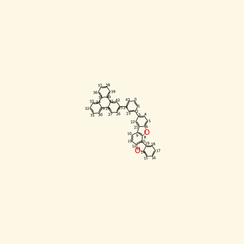 c1cc(-c2ccc3oc4c(ccc5oc6ccccc6c54)c3c2)cc(-c2ccc3c4ccccc4c4ccccc4c3c2)c1